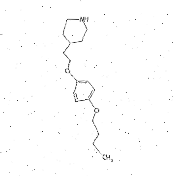 CCCCOc1ccc(OCCC2CCNCC2)cc1